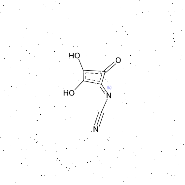 N#C/N=c1\c(O)c(O)c1=O